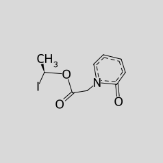 C[C@H](I)OC(=O)Cn1ccccc1=O